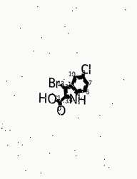 O=C(O)c1[nH]c2ccc(Cl)cc2c1Br